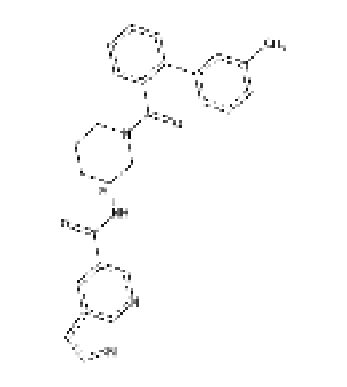 Cc1cccc(-c2ccccc2C(=O)N2CCC[C@@H](NC(=O)c3cnc4[nH]ccc4c3)C2)c1